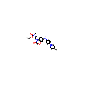 CN(CCN1C(=O)COc2cc(Nc3ccc(N4CCC(C(F)(F)F)CC4)cc3)ccc21)C(=O)OC(C)(C)C